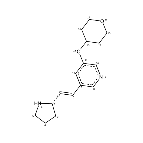 C(=C[C@@H]1CCCN1)c1cncc(OC2CCOCC2)c1